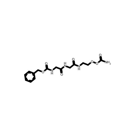 NC(=O)OOCCNC(=O)CNC(=O)CNC(=O)OCc1ccccc1